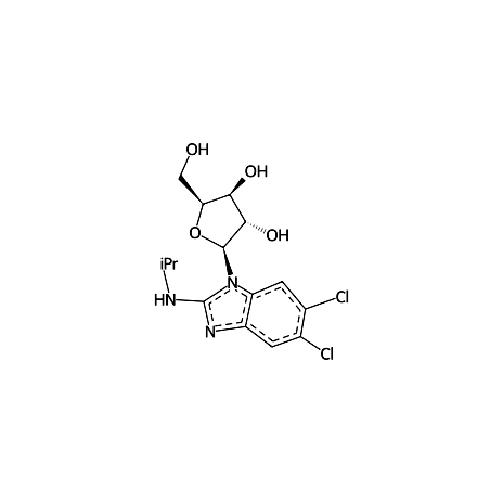 CC(C)Nc1nc2cc(Cl)c(Cl)cc2n1[C@H]1O[C@@H](CO)[C@@H](O)[C@@H]1O